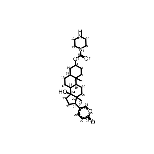 CC12CCC(OC(=O)N3CCNCC3)CC1CCC1C2CCC2(C)C(c3ccc(=O)oc3)CCC12O